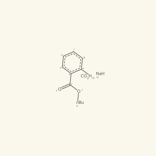 CCCCOC(=O)c1ccccc1C(=O)O.[NaH]